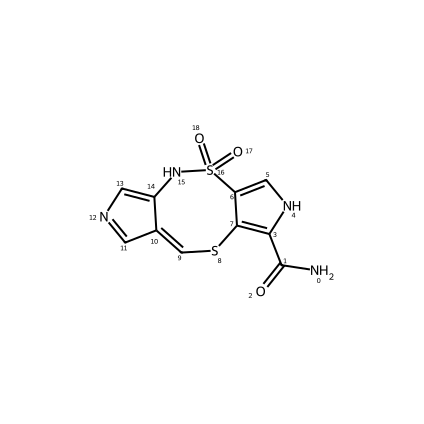 NC(=O)c1[nH]cc2c1SC=C1C=NC=C1NS2(=O)=O